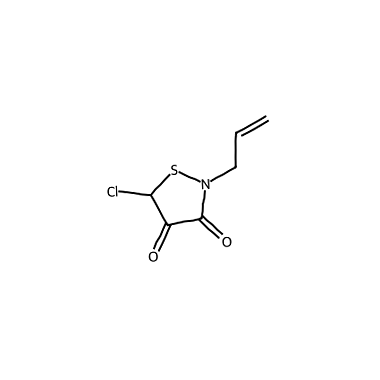 C=CCN1SC(Cl)C(=O)C1=O